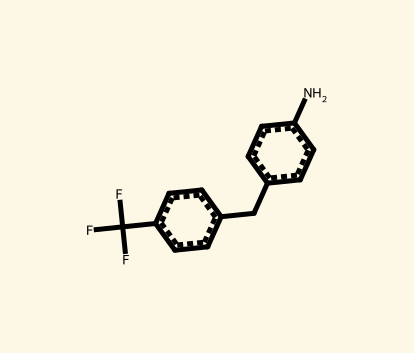 Nc1ccc(Cc2ccc(C(F)(F)F)cc2)cc1